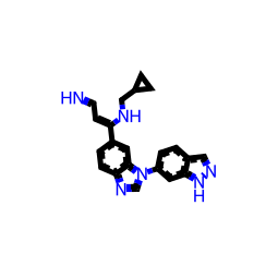 N=C/C=C(\NCC1CC1)c1ccc2ncn(-c3ccc4cn[nH]c4c3)c2c1